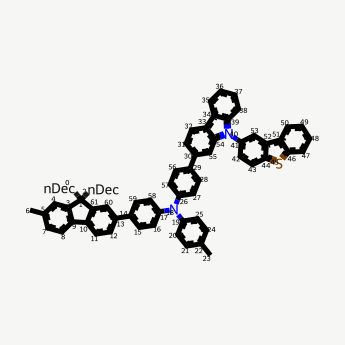 CCCCCCCCCCC1(CCCCCCCCCC)c2cc(C)ccc2-c2ccc(-c3ccc(N(c4ccc(C)cc4)c4ccc(-c5ccc6c7ccccc7n(-c7ccc8sc9ccccc9c8c7)c6c5)cc4)cc3)cc21